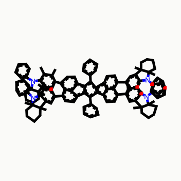 Cc1c(-c2ccc3c4c(-c5ccccc5)c5c6ccc(-c7cc8c(c(C)c7C)N(c7ccccc7)C7(C)CCCCC87C)c7c(-c8cc9c(c(C)c8C)N(c8ccccc8)C8(C)CCCCC98C)ccc(c5c(-c5ccccc5)c4c4ccc(-c5cc8c(c(C)c5C)N(c5ccccc5)C5(C)CCCCC85C)c2c34)c76)cc2c(c1C)N(c1ccccc1)C1(C)CCCCC21C